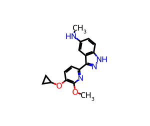 CNc1ccc2[nH]nc(-c3ccc(OC4CC4)c(OC)n3)c2c1